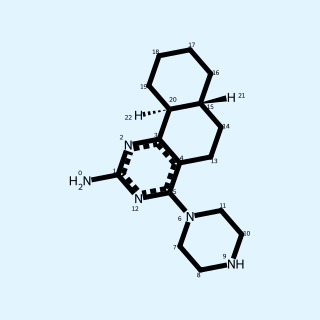 Nc1nc2c(c(N3CCNCC3)n1)CC[C@H]1CCCC[C@H]21